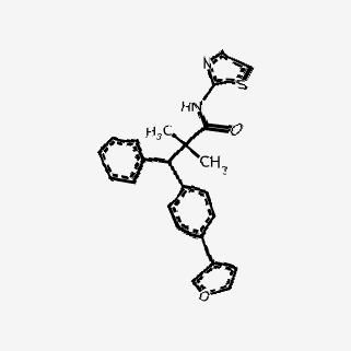 CC(C)(C(=O)Nc1nccs1)C(c1ccccc1)c1ccc(-c2ccoc2)cc1